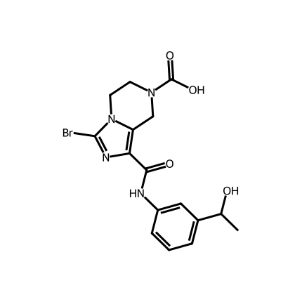 CC(O)c1cccc(NC(=O)c2nc(Br)n3c2CN(C(=O)O)CC3)c1